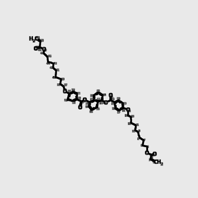 C=CC(=O)OCCCCCCCCCCOc1ccc(C(=O)Oc2cccc3c(OC(=O)c4ccc(OCCCCCCCCCCOC(=O)C=C)cc4)cccc23)cc1